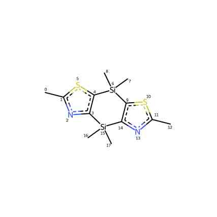 Cc1nc2c(s1)[Si](C)(C)c1sc(C)nc1[Si]2(C)C